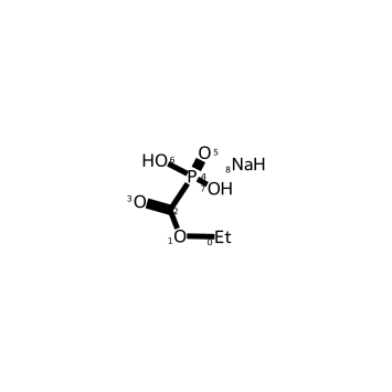 CCOC(=O)P(=O)(O)O.[NaH]